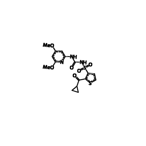 COc1cc(NC(=O)NS(=O)(=O)c2ccsc2C(=O)C2CC2)nc(OC)c1